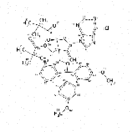 C=C1[C@@H](n2cnc3c(Cl)ncnc32)C[C@H](OC(=O)C(C)(C)C)[C@]1(COC(=O)C(C)(C)C)COC(c1ccccc1)(c1ccc(OC)cc1)c1ccc(OC)cc1